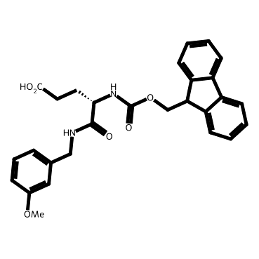 COc1cccc(CNC(=O)[C@H](CCC(=O)O)NC(=O)OCC2c3ccccc3-c3ccccc32)c1